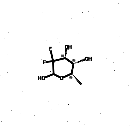 C[C@@H]1OC(O)C(F)(F)[C@H](O)[C@@H]1O